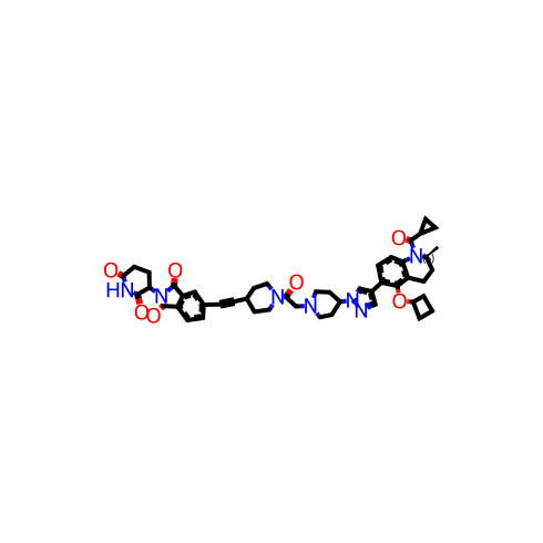 C[C@H]1CCc2c(ccc(-c3cnn(C4CCN(CC(=O)N5CCC(C#Cc6ccc7c(c6)C(=O)N(C6CCC(=O)NC6=O)C7=O)CC5)CC4)c3)c2OC2CCC2)N1C(=O)C1CC1